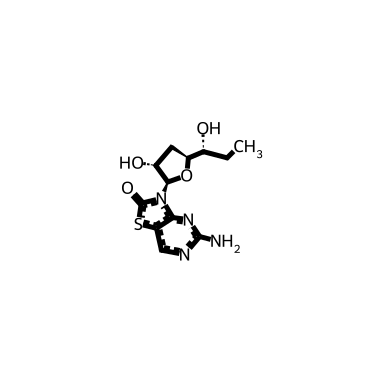 CC[C@@H](O)[C@@H]1C[C@@H](O)[C@H](n2c(=O)sc3cnc(N)nc32)O1